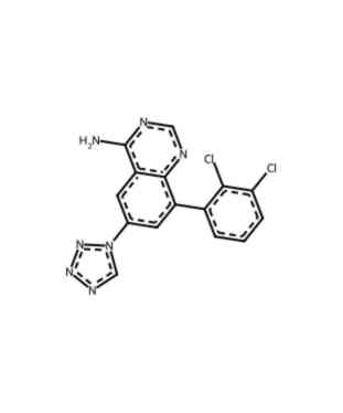 Nc1ncnc2c(-c3cccc(Cl)c3Cl)cc(-n3cnnn3)cc12